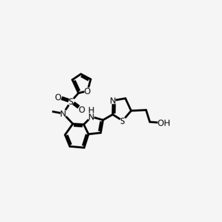 CN(c1cccc2cc(C3=NCC(CCO)S3)[nH]c12)S(=O)(=O)c1ccco1